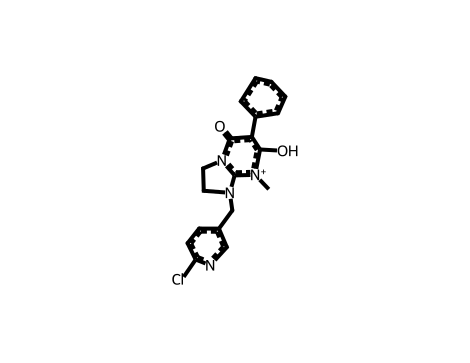 C[n+]1c(O)c(-c2ccccc2)c(=O)n2c1N(Cc1ccc(Cl)nc1)CC2